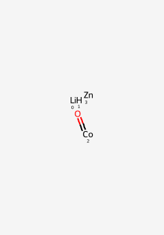 [LiH].[O]=[Co].[Zn]